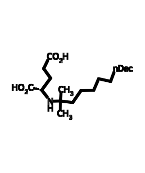 CCCCCCCCCCCCCCCC(C)(C)N[C@@H](CCC(=O)O)C(=O)O